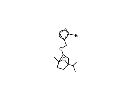 CC(C)C12CCC(C)(O1)C(OCc1ccsc1Br)C2